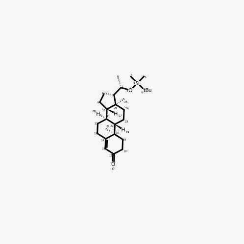 C[C@H](O[Si](C)(C)C(C)(C)C)[C@H]1CC[C@H]2[C@@H]3CCC4=CC(=O)CC[C@]4(C)[C@H]3CC[C@]12C